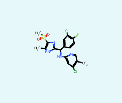 Cc1[nH]c(C(Nc2cc(Cl)c(C(F)(F)F)cn2)c2ccc(F)c(Cl)c2)nc1S(C)(=O)=O